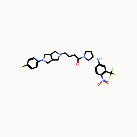 O=C(CCCN1CC2CN(c3ccc(Cl)cc3)CC2C1)N1CC[C@H](Nc2ccc([N+](=O)[O-])c(C(F)(F)F)c2)C1